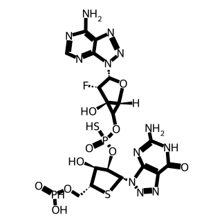 Nc1nc2c(nnn2[C@@H]2S[C@H](CO[PH](=O)O)[C@@H](O)[C@H]2OP(=O)(S)OC2[C@H]3O[C@@H](n4nnc5c(N)ncnc54)[C@@H](F)[C@@]23O)c(=O)[nH]1